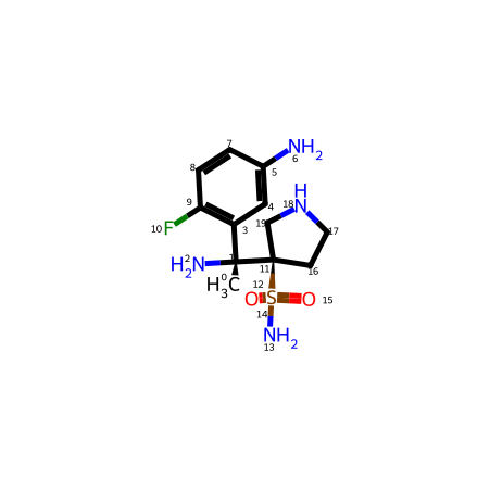 C[C@@](N)(c1cc(N)ccc1F)[C@@]1(S(N)(=O)=O)CCNC1